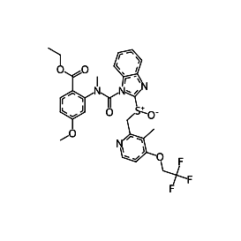 CCOC(=O)c1ccc(OC)cc1N(C)C(=O)n1c([S+]([O-])Cc2nccc(OCC(F)(F)F)c2C)nc2ccccc21